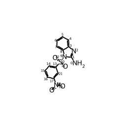 Nc1nc2ccccc2n1S(=O)(=O)c1cccc([N+](=O)[O-])c1